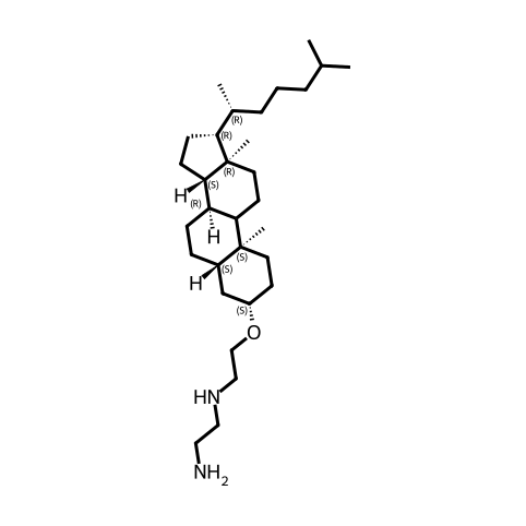 CC(C)CCC[C@@H](C)[C@H]1CC[C@H]2[C@@H]3CC[C@H]4C[C@@H](OCCNCCN)CC[C@]4(C)C3CC[C@]12C